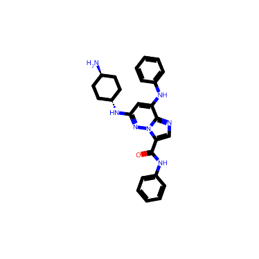 N[C@H]1CC[C@H](Nc2cc(Nc3ccccc3)c3ncc(C(=O)Nc4ccccc4)n3n2)CC1